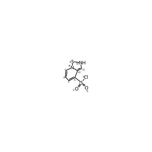 O=S(=O)(Cl)C1=CC=CN2SNC=C12